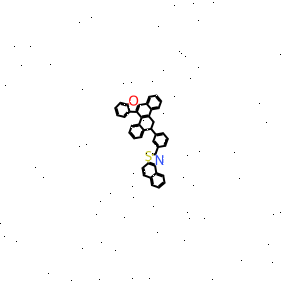 c1cc(-c2nc3c(ccc4ccccc43)s2)cc(C2Cc3c(c4c5ccccc5oc4c4ccccc34)-c3ccccc32)c1